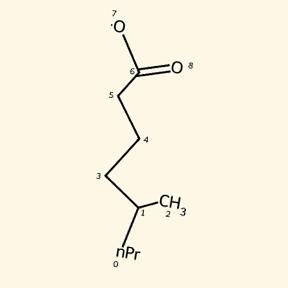 CCCC(C)CCCC([O])=O